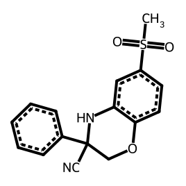 CS(=O)(=O)c1ccc2c(c1)NC(C#N)(c1ccccc1)CO2